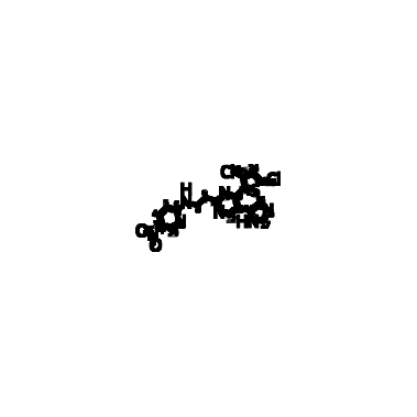 O=[N+]([O-])c1ccc(NC[CH]c2ncc(-c3cnc[nH]3)c(-c3sc(Cl)cc3Cl)n2)nc1